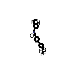 O=C(/C=C/c1ccc2nccnc2c1)c1ccc(-c2ccc(OC(F)(F)F)cc2)cc1